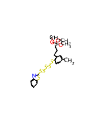 CO[Si](CCCc1cc(C)ccc1SSSSSc1nc2ccccc2s1)(OC)OC